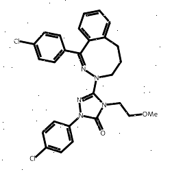 COCCn1c(N2CCCc3ccccc3/C(c3ccc(Cl)cc3)=N\2)nn(-c2ccc(Cl)cc2)c1=O